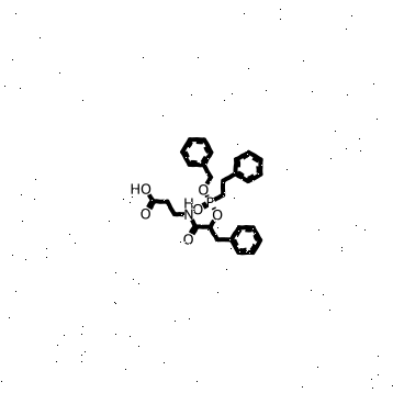 O=C(O)CCNC(=O)C(Cc1ccccc1)OP(=O)(CCc1ccccc1)OCc1ccccc1